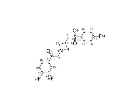 O=C(CN1CC(CS(=O)(=O)c2ccc(F)cc2)C1)c1ccc(F)c(F)c1